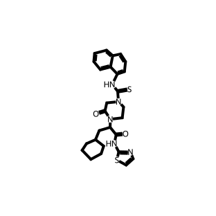 O=C(Nc1nccs1)C(CC1CCCCC1)N1CCN(C(=S)Nc2cccc3ccccc23)CC1=O